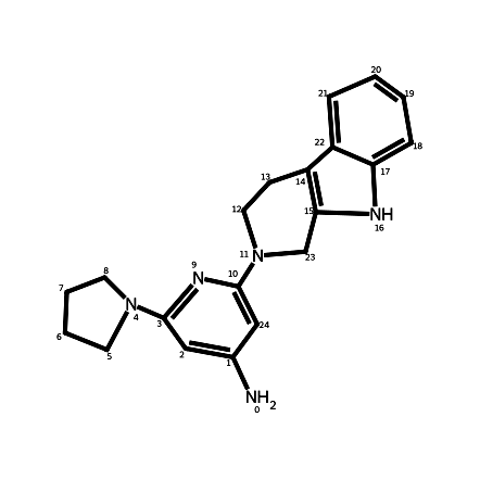 Nc1cc(N2CCCC2)nc(N2CCc3c([nH]c4ccccc34)C2)c1